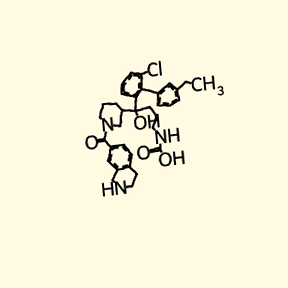 CCc1cccc(-c2c(Cl)cccc2C(O)(CCCNC(=O)O)C2CCCN(C(=O)c3ccc4c(c3)CNCC4)C2)c1